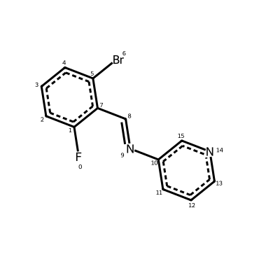 Fc1cccc(Br)c1C=Nc1cccnc1